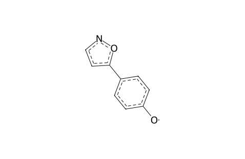 [O]c1ccc(-c2ccno2)cc1